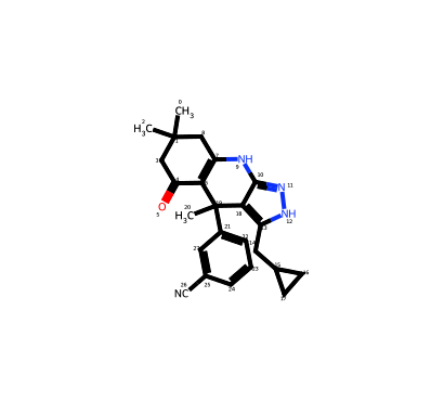 CC1(C)CC(=O)C2=C(C1)Nc1n[nH]c(CC3CC3)c1C2(C)c1cccc(C#N)c1